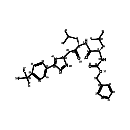 CC(C)C[C@H](NC(=O)[C@H](CC(C)C)NC(=O)OCc1ccccc1)C(=O)Cn1nnc(-c2ccc(C(F)(F)F)cc2)n1